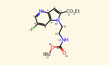 CCOC(=O)c1cc2ncc(F)cc2n1CCNC(=O)OC(C)(C)C